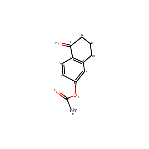 CCCC(=O)Oc1ccc2c(c1)CCCC2=O